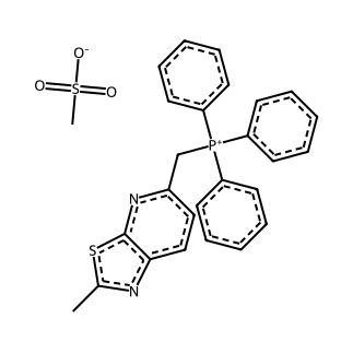 CS(=O)(=O)[O-].Cc1nc2ccc(C[P+](c3ccccc3)(c3ccccc3)c3ccccc3)nc2s1